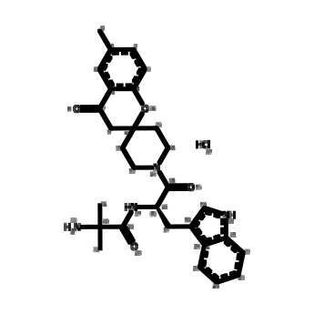 Cc1ccc2c(c1)C(=O)CC1(CCN(C(=O)[C@@H](Cc3c[nH]c4ccccc34)NC(=O)C(C)(C)N)CC1)O2.Cl